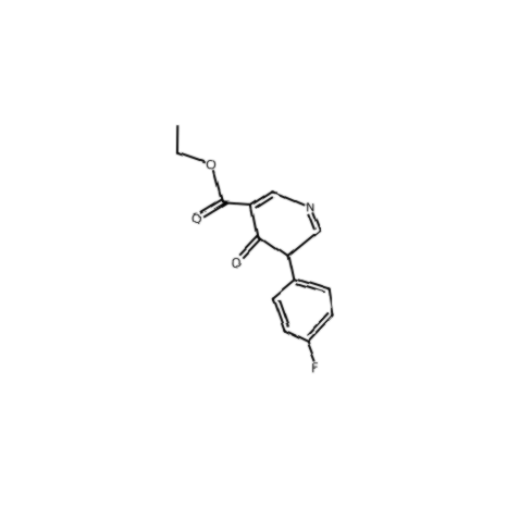 CCOC(=O)C1=CN=CC(c2ccc(F)cc2)C1=O